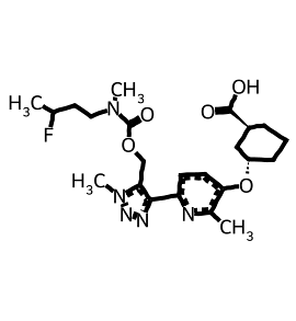 Cc1nc(-c2nnn(C)c2COC(=O)N(C)CCC(C)F)ccc1O[C@H]1CCC[C@H](C(=O)O)C1